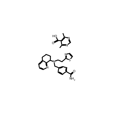 Cc1ncnc(C)c1C(=O)O.NC(=O)c1ccc(CN(CCc2nccs2)C2CCCc3cccnc32)cc1